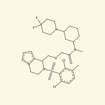 Cc1ccc(Cl)c(S(=O)(=O)N2CCn3cccc3C2COCC(=O)N(C)C2CCCC(N3CCC(F)(F)CC3)C2)c1Cl